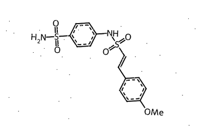 COc1ccc(C=CS(=O)(=O)Nc2ccc(S(N)(=O)=O)cc2)cc1